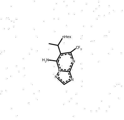 CCCCCCC(C)c1c(C(F)(F)F)nc2ncnn2c1N